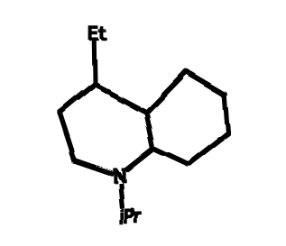 CCC1CCN(C(C)C)C2CCCCC12